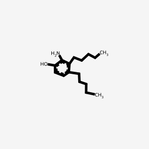 CCCCCc1ccc(O)c(N)c1CCCCC